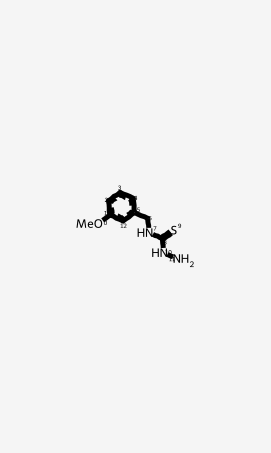 COc1cccc(CNC(=S)NN)c1